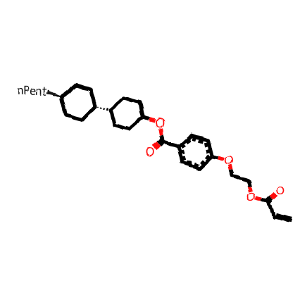 C=CC(=O)OCCOc1ccc(C(=O)OC2CCC([C@H]3CC[C@H](CCCCC)CC3)CC2)cc1